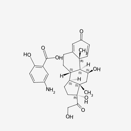 C[C@]12C=CC(=O)C=C1CC[C@@H]1[C@@H]2[C@@H](O)C[C@@]2(C)[C@H]1CC[C@]2(O)C(=O)CO.Nc1ccc(O)c(C(=O)O)c1